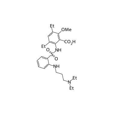 CCc1cc(CC)c(OC)c(C(=O)O)c1NS(=O)(=O)c1ccccc1NCCCN(CC)CC